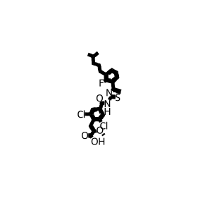 CO/C(=C\c1c(Cl)cc(C(=O)Nc2nc(-c3cccc(CCCC(C)C)c3F)cs2)cc1Cl)C(=O)O